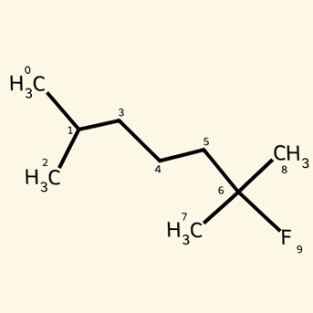 CC(C)CCCC(C)(C)F